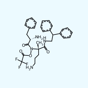 C[C@](CCCN)(C(=O)NCC(c1ccccc1)c1ccccc1)N(OC(=O)C(F)(F)F)C(=O)[C@@H](N)Cc1ccccc1